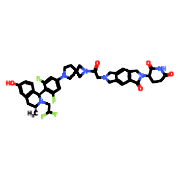 C[C@@H]1Cc2cc(O)ccc2[C@@H](c2c(F)cc(N3CCC4(CN(C(=O)CN5Cc6cc7c(cc6C5)C(=O)N(C5CCC(=O)NC5=O)C7)C4)C3)cc2F)N1CC(F)F